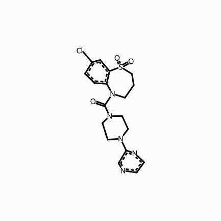 O=C(N1CCN(c2cnccn2)CC1)N1CCCS(=O)(=O)c2cc(Cl)ccc21